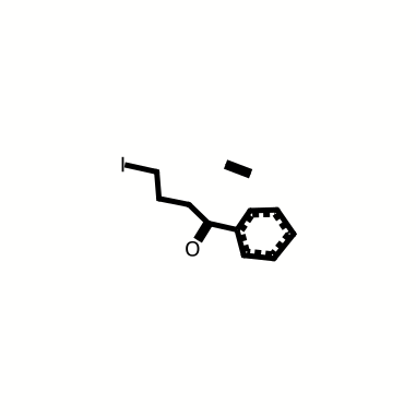 C=C.O=C(CCCI)c1ccccc1